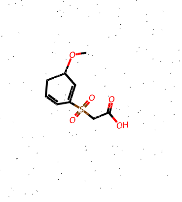 COC1C=C(S(=O)(=O)CC(=O)O)C=CC1